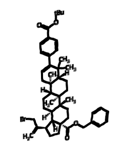 C=C(CBr)[C@@H]1CC[C@]2(C(=O)OCc3ccccc3)CC[C@]3(C)[C@H](CC[C@@H]4[C@@]5(C)CC=C(c6ccc(C(=O)OC(C)(C)C)cc6)C(C)(C)[C@@H]5CC[C@]43C)[C@@H]12